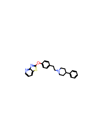 c1ccc(C2CCN(CCc3ccc(Oc4nc5ncccc5s4)cc3)CC2)cc1